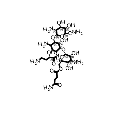 NCC[C@H](O)C(=O)N[C@@H]1CC(N)[C@@H](O[C@H]2O[C@H](CN)[C@@H](O)[C@H](O)[C@H]2N)[C@H](O)[C@H]1O[C@H]1O[C@H](COC(=O)CCC(N)=O)[C@@H](O)[C@H](N)[C@H]1O